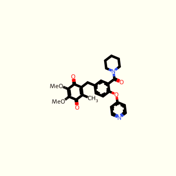 COC1=C(OC)C(=O)C(Cc2ccc(Oc3ccncc3)c(C(=O)N3CCCCC3)c2)=C(C)C1=O